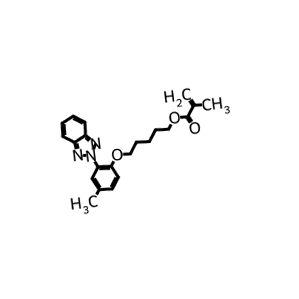 C=C(C)C(=O)OCCCCCOc1ccc(C)cc1-n1nc2ccccc2n1